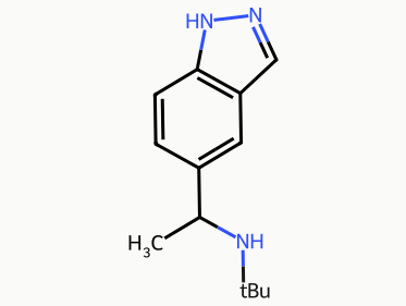 CC(NC(C)(C)C)c1ccc2[nH]ncc2c1